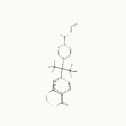 O=COC(=O)c1ccc(C(c2ccc3c(c2)OCOC3=O)(C(F)(F)F)C(F)(F)F)cc1